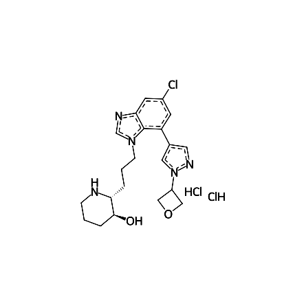 Cl.Cl.O[C@H]1CCCN[C@@H]1CCCn1cnc2cc(Cl)cc(-c3cnn(C4COC4)c3)c21